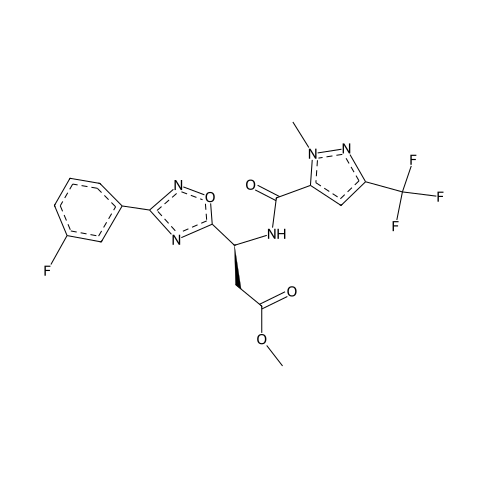 COC(=O)C[C@H](NC(=O)c1cc(C(F)(F)F)nn1C)c1nc(-c2cccc(F)c2)no1